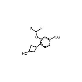 CC(C)(C)c1ccc(N2CC(O)C2)c(OC(F)F)c1